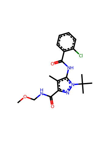 COCNC(=O)c1nn(C(C)(C)C)c(NC(=O)c2ccccc2Cl)c1C